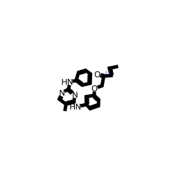 C/C=C/C(=O)COc1cccc(Nc2nc(Nc3ccccc3)ncc2C)c1